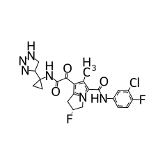 Cc1c(C(=O)C(=O)NC2(C3CNN=N3)CC2)c2n(c1C(=O)Nc1ccc(F)c(Cl)c1)C[C@H](F)C2